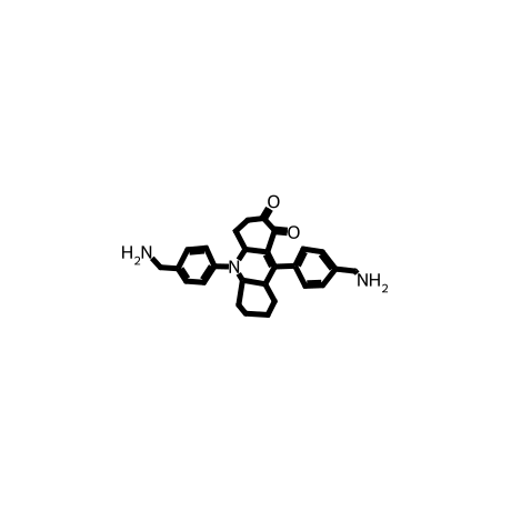 NCc1ccc(C2=C3C(=O)C(=O)CCC3N(c3ccc(CN)cc3)C3CCCCC23)cc1